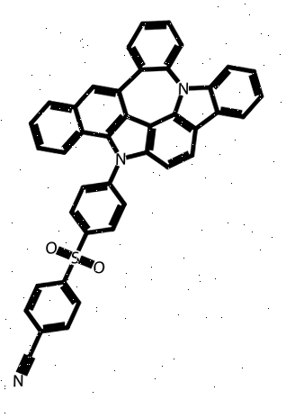 N#Cc1ccc(S(=O)(=O)c2ccc(-n3c4ccc5c6ccccc6n6c7ccccc7c7cc8ccccc8c3c7c4c56)cc2)cc1